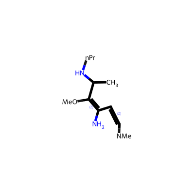 CCCNC(C)/C(OC)=C(N)\C=C/NC